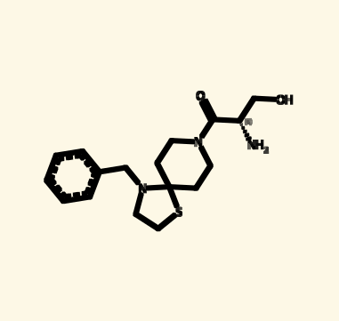 N[C@@H](CO)C(=O)N1CCC2(CC1)SCCN2Cc1ccccc1